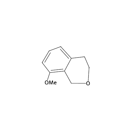 COc1cccc2c1COCC2